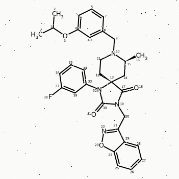 CC(C)Oc1cccc(CN2CC[C@@]3(C[C@@H]2C)C(=O)N(Cc2noc4ccccc24)C(=O)N3c2cccc(F)c2)c1